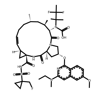 CCN(C)c1cc2cc(OC)ccc2c(O[C@@H]2C[C@H]3C(=O)N[C@]4(C(=O)NS(=O)(=O)C5(CF)CC5)C[C@H]4C=CCC[C@H](C)C[C@@H](C)[C@H](N(C(=O)O)C(C)(C)C(C)(F)F)C(=O)N3C2)n1